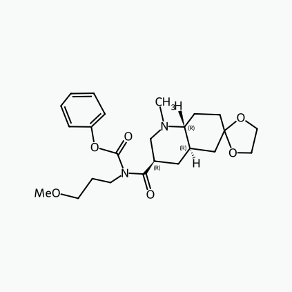 COCCCN(C(=O)Oc1ccccc1)C(=O)[C@@H]1C[C@@H]2CC3(CC[C@H]2N(C)C1)OCCO3